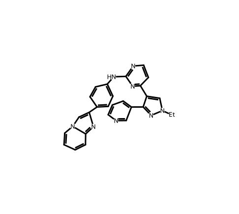 CCn1cc(-c2ccnc(Nc3ccc(-c4cn5ccccc5n4)cc3)n2)c(-c2cccnc2)n1